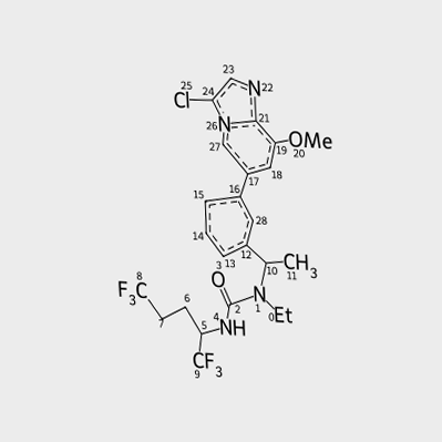 CCN(C(=O)NC(CCC(F)(F)F)C(F)(F)F)C(C)c1cccc(-c2cc(OC)c3ncc(Cl)n3c2)c1